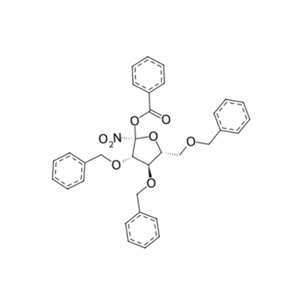 O=C(O[C@@]1([N+](=O)[O-])O[C@H](COCc2ccccc2)[C@@H](OCc2ccccc2)[C@@H]1OCc1ccccc1)c1ccccc1